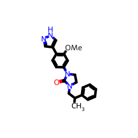 COc1cc(N2CCN(CC(C)c3ccccc3)C2=O)ccc1-c1cn[nH]c1